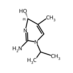 CC1=CN(C(C)C)C(N)=N[C@@H]1O